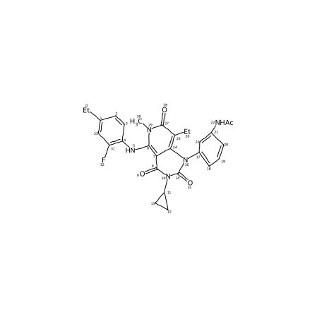 CCc1ccc(Nc2c3c(=O)n(C4CC4)c(=O)n(-c4cccc(NC(C)=O)c4)c3c(CC)c(=O)n2C)c(F)c1